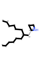 CCCCCCC(CCCCCC)C[C@@H]1CCN1